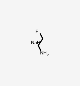 CCCCN.[NaH]